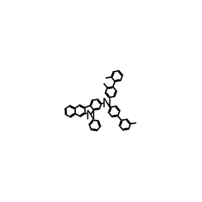 Cc1cccc(-c2ccc(N(c3ccc(-c4ccccc4C)c(C)c3)c3ccc4c5cc6ccccc6cc5n(-c5ccccc5)c4c3)cc2)c1